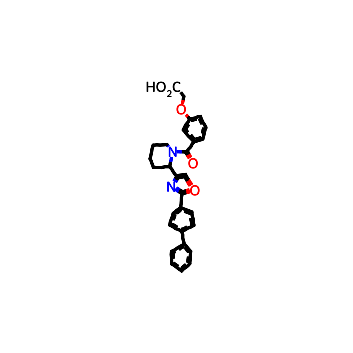 O=C(O)COc1cccc(C(=O)N2CCCCC2c2coc(-c3ccc(-c4ccccc4)cc3)n2)c1